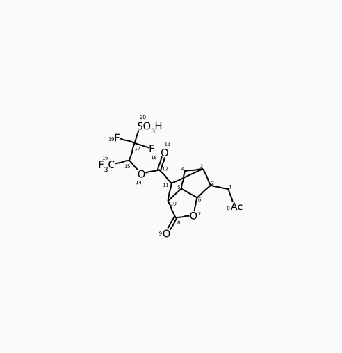 CC(=O)CC1C2CC3C1OC(=O)C3C2C(=O)OC(C(F)(F)F)C(F)(F)S(=O)(=O)O